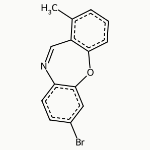 Cc1cccc2c1C=Nc1ccc(Br)cc1O2